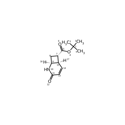 CC(C)(C)OC(=O)[C@H]1C[C@@H]2NC(=O)C=C[C@@H]21